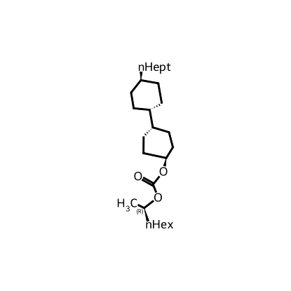 CCCCCCC[C@H]1CC[C@H]([C@H]2CC[C@H](OC(=O)O[C@H](C)CCCCCC)CC2)CC1